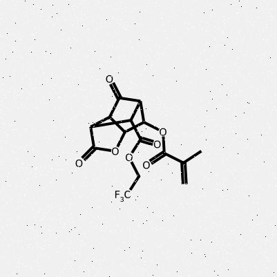 C=C(C)C(=O)OC1C2OC(=O)C3C2C(=O)C1C3C(=O)OCC(F)(F)F